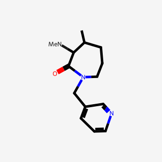 CNC1C(=O)N(Cc2cccnc2)CCCC1C